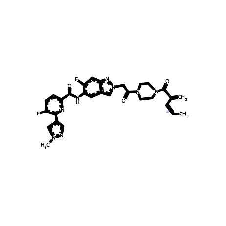 C=C(/C=C\C)C(=O)N1CCN(C(=O)Cn2cc3cc(NC(=O)c4ccc(F)c(-c5cnn(C)c5)n4)c(F)cc3n2)CC1